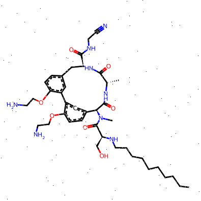 CCCCCCCCCCN[C@@H](CO)C(=O)N(C)[C@@H]1C(=O)N[C@@H](C)C(=O)N[C@H](C(=O)NCC#N)Cc2ccc(OCCN)c(c2)-c2cc1ccc2OCCN